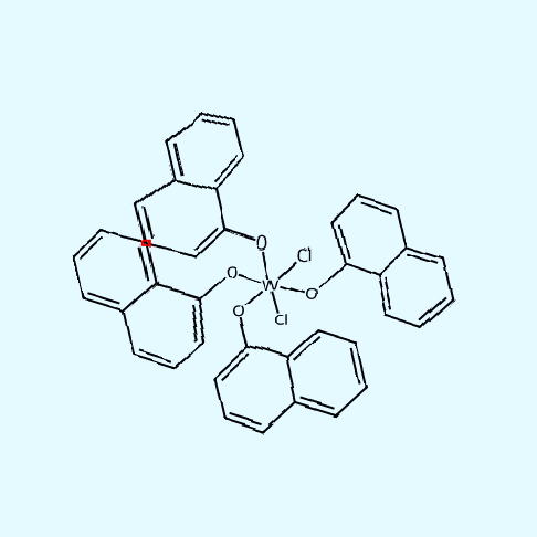 [Cl][W]([Cl])([O]c1cccc2ccccc12)([O]c1cccc2ccccc12)([O]c1cccc2ccccc12)[O]c1cccc2ccccc12